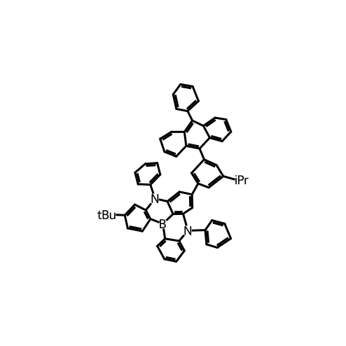 CC(C)c1cc(-c2cc3c4c(c2)N(c2ccccc2)c2cc(C(C)(C)C)ccc2B4c2ccccc2N3c2ccccc2)cc(-c2c3ccccc3c(-c3ccccc3)c3ccccc23)c1